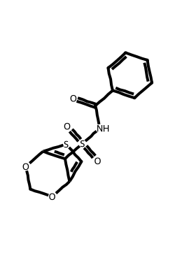 O=C(NS(=O)(=O)c1c2csc1OCO2)c1ccccc1